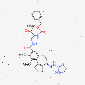 COC(=O)C(CNC(=O)c1cc2c(c(OC)c1OC)C1=C(CCC1)C(=NNC1=NCCN1)CC2)NC(=O)OCc1ccccc1